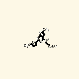 CC(=O)NCCNc1nc(-c2ccc([N+](=O)[O-])o2)nc2sc(C)cc12